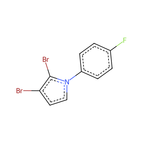 Fc1ccc(-n2ccc(Br)c2Br)cc1